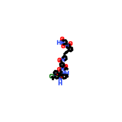 CC(C)c1cc2c(cn1)[C@]1(CN2)[C@@H](c2cccc(Cl)c2F)[C@H](C(=O)N2C[C@H](C)Oc3cc(C(=O)N4CCC[C@@H](CC#Cc5cccc6c5CN([C@H]5CCC(=O)NC5=O)C6=O)C4)ccc32)N[C@]12CCCC(C)(C)C2